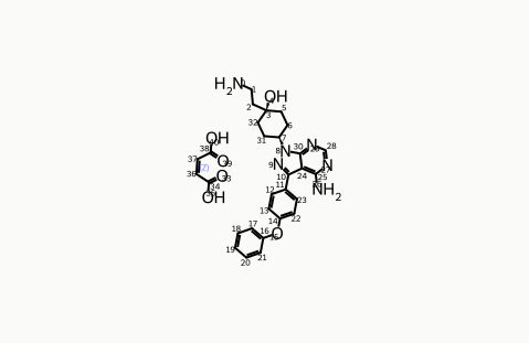 NCC[C@]1(O)CC[C@@H](n2nc(-c3ccc(Oc4ccccc4)cc3)c3c(N)ncnc32)CC1.O=C(O)/C=C\C(=O)O